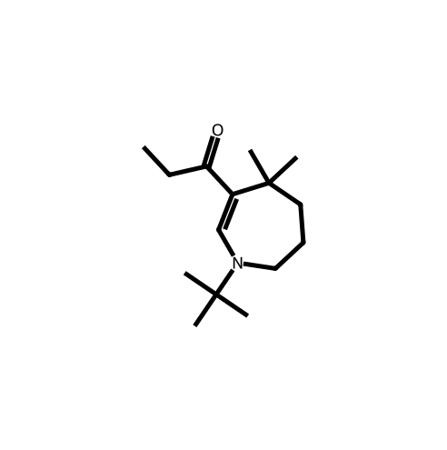 CCC(=O)C1=CN(C(C)(C)C)CCCC1(C)C